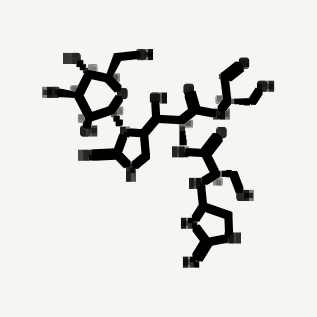 N=C1NCC(N[C@@H](CO)C(=O)N[C@@H](C(=O)N[C@H]([C]=O)CO)C(O)C2CNC(=N)N2[C@H]2O[C@H](CO)[C@@H](O)[C@H](O)[C@@H]2O)N1